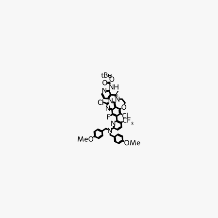 COc1ccc(CN(Cc2ccc(OC)cc2)c2ccc(C(F)(F)F)c(-c3c(Cl)c4c5c(nc(Cl)nc5c3F)N([C@H](C)c3cccnc3NC(=O)OC(C)(C)C)CCO4)n2)cc1